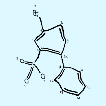 O=S(=O)(Cl)c1cc(Br)ccc1-c1ccccc1